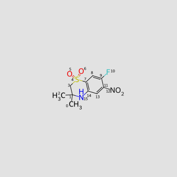 CC1(C)CS(=O)(=O)c2cc(F)c([N+](=O)[O-])cc2N1